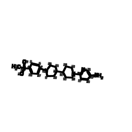 CS(=O)(=O)c1ccc(N2CCC(C3CCN(c4ccc(N)cn4)CC3)CC2)cc1